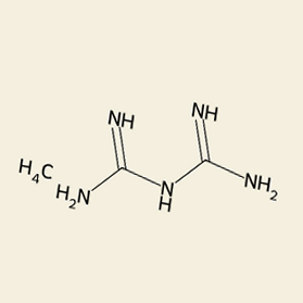 C.N=C(N)NC(=N)N